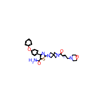 NC(=O)c1sc(N2CC3(CN(C(=O)/C=C/CN4CCOCC4)C3)C2)nc1-c1ccc(Oc2ccccc2)cc1